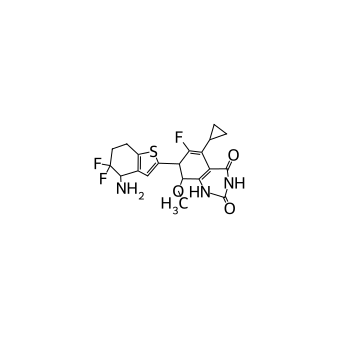 COC1c2[nH]c(=O)[nH]c(=O)c2C(C2CC2)=C(F)C1c1cc2c(s1)CCC(F)(F)C2N